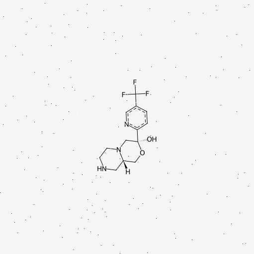 O[C@@]1(c2ccc(C(F)(F)F)cn2)CN2CCNC[C@H]2CO1